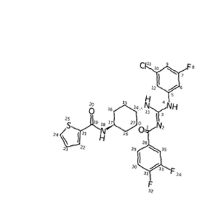 O=C(/N=C(/Nc1cc(F)cc(Cl)c1)N[C@H]1CC[C@H](NC(=O)c2cccs2)CC1)c1ccc(F)c(F)c1